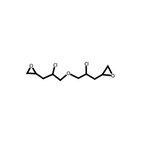 ClC(COCC(Cl)CC1CO1)CC1CO1